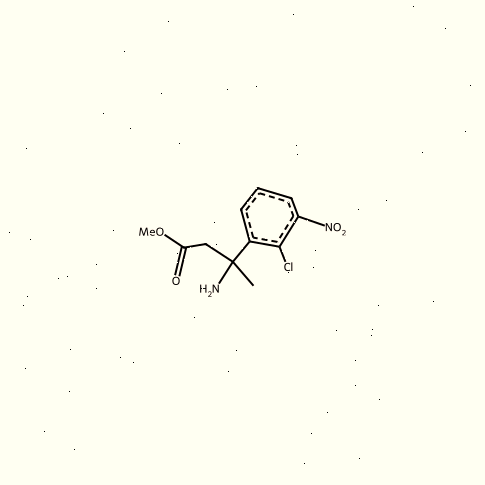 COC(=O)CC(C)(N)c1cccc([N+](=O)[O-])c1Cl